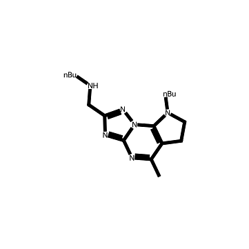 CCCCNCc1nc2nc(C)c3c(n2n1)N(CCCC)CC3